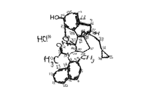 CC(=O)N(c1c(C)ccc2ccccc12)[C@@H]1CC[C@@]2(O)[C@H]3Cc4ccc(O)c5c4[C@@]2(CCN3CC2CC2)[C@H]1O5.Cl